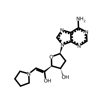 Nc1ncnc2c1ncn2[C@H]1C[C@H](O)[C@@H](C(O)=CN2CCCC2)O1